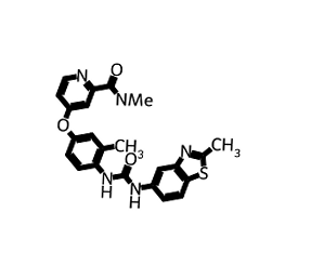 CNC(=O)c1cc(Oc2ccc(NC(=O)Nc3ccc4sc(C)nc4c3)c(C)c2)ccn1